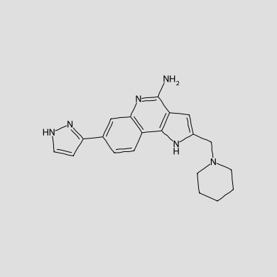 Nc1nc2cc(-c3cc[nH]n3)ccc2c2[nH]c(CN3CCCCC3)cc12